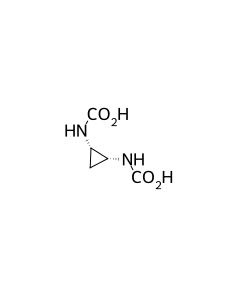 O=C(O)N[C@H]1C[C@H]1NC(=O)O